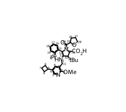 COc1ncc(C2CCC2)cc1CNC1C(c2ccccc2C(C)C)N(C(=O)C2CCCO2)C(C(=O)O)C1C(C)(C)C